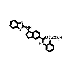 O=C(O)Nc1ccccc1NC(=O)c1ccc2c(c1)CCC2Nc1nc2ccccc2s1